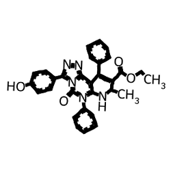 CCOC(=O)C1=C(c2ccccc2)c2c(n(-c3ccccc3)c(=O)n3c(-c4ccc(O)cc4)nnc23)NC1C